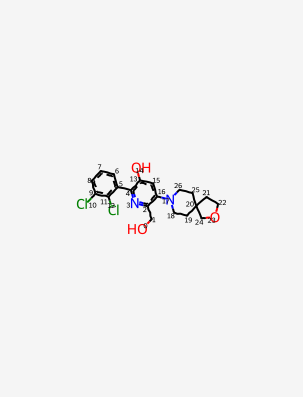 OCc1nc(-c2cccc(Cl)c2Cl)c(O)cc1N1CCC2(CCOC2)CC1